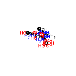 CC(C)CC(NC(=O)C(C)N(C(=O)CNC(=O)C(NC(=O)C(N)Cc1ccc(O)cc1)C(C)O)c1ccccc1)C(=O)NC(COC1O[C@H](CO)[C@@H](O)[C@H](O)[C@H]1O)C(N)=O